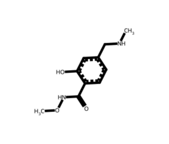 CNCc1ccc(C(=O)NOC)c(O)c1